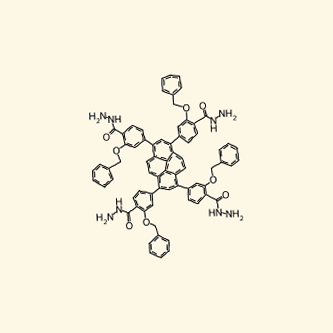 NNC(=O)c1ccc(-c2cc(-c3ccc(C(=O)NN)c(OCc4ccccc4)c3)c3ccc4c(-c5ccc(C(=O)NN)c(OCc6ccccc6)c5)cc(-c5ccc(C(=O)NN)c(OCc6ccccc6)c5)c5ccc2c3c54)cc1OCc1ccccc1